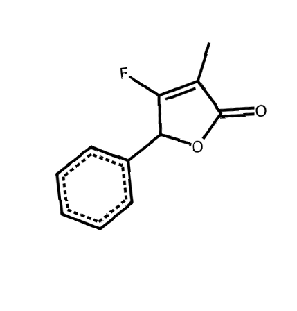 CC1=C(F)C(c2ccccc2)OC1=O